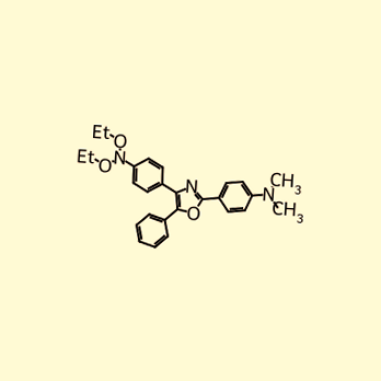 CCON(OCC)c1ccc(-c2nc(-c3ccc(N(C)C)cc3)oc2-c2ccccc2)cc1